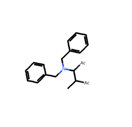 CC(=O)C(C)C(C(C)=O)N(Cc1ccccc1)Cc1ccccc1